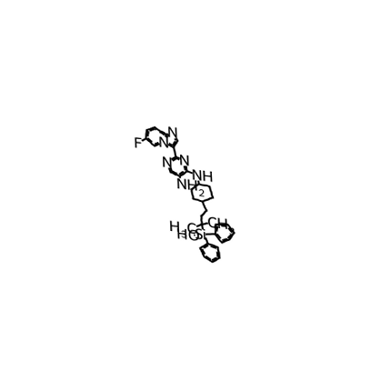 CC(C)(CCC1CCC(Nc2nc(-c3cnc4ccc(F)cn34)ncc2N)CC1)[Si](O)(c1ccccc1)c1ccccc1